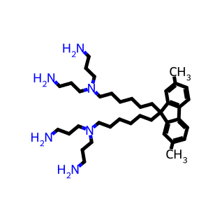 Cc1ccc2c(c1)C(CCCCCCN(CCCN)CCCN)(CCCCCCN(CCCN)CCCN)c1cc(C)ccc1-2